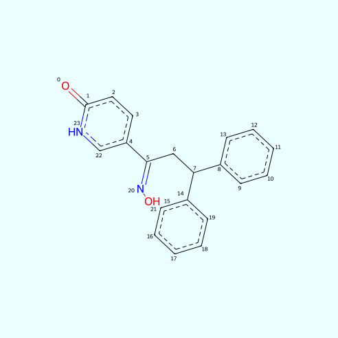 O=c1ccc(/C(CC(c2ccccc2)c2ccccc2)=N/O)c[nH]1